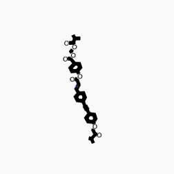 C=C(C)C(=O)COc1ccc(C#Cc2ccc(/C=C/C(=O)Oc3ccc(C(=O)OCOC(=O)C(=C)C)cc3)cc2)cc1